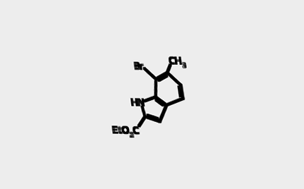 CCOC(=O)c1cc2ccc(C)c(Br)c2[nH]1